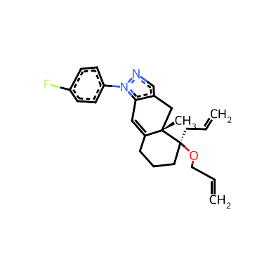 C=CCO[C@@]1(CC=C)CCCC2=Cc3c(cnn3-c3ccc(F)cc3)C[C@@]21C